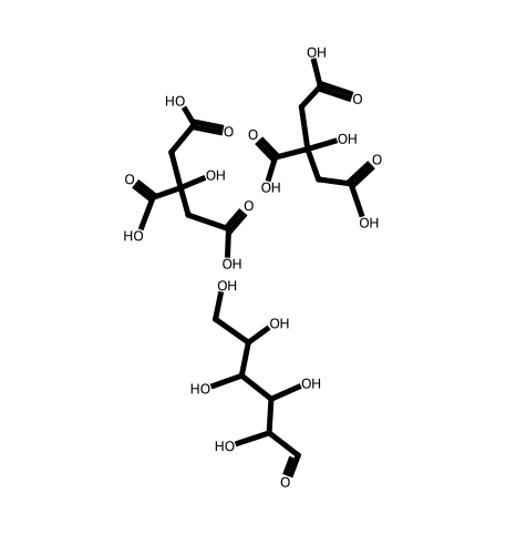 O=C(O)CC(O)(CC(=O)O)C(=O)O.O=C(O)CC(O)(CC(=O)O)C(=O)O.O=CC(O)C(O)C(O)C(O)CO